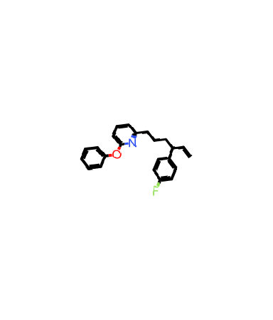 C=CC(CCCc1cccc(Oc2ccccc2)n1)c1ccc(F)cc1